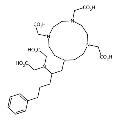 O=C(O)CN1CCN(CC(=O)O)CCN(CC(CCCc2ccccc2)N(CC(=O)O)CC(=O)O)CCN(CC(=O)O)CC1